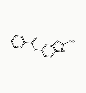 O=Cc1cc2cc(OC(=O)c3ccccc3)ccc2[nH]1